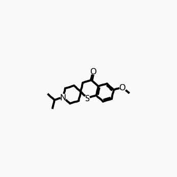 COc1ccc2c(c1)C(=O)CC1(CCN(C(C)C)CC1)S2